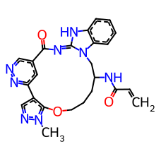 C=CC(=O)NC1CCCOc2c(cnn2C)-c2cc(cnn2)C(=O)/N=C2\Nc3ccccc3N2C1